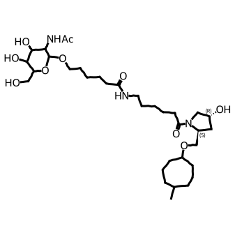 CC(=O)NC1C(OCCCCCC(=O)NCCCCCC(=O)N2C[C@H](O)C[C@H]2COC2CCCC(C)CCC2)OC(CO)C(O)C1O